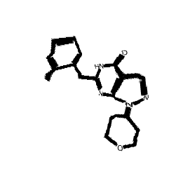 Cc1ccccc1Cc1nc2c(cnn2C2CCOCC2)c(=O)[nH]1